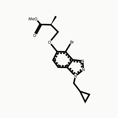 COC(=O)[C@@H](C)COc1ccc2c(nnn2CC2CC2)c1Br